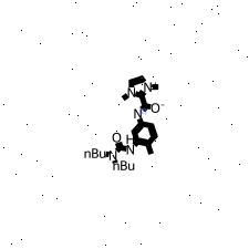 CCCCN(CCCC)C(=O)Nc1cc(/N=C(\[O-])c2n(C)cc[n+]2C)ccc1C